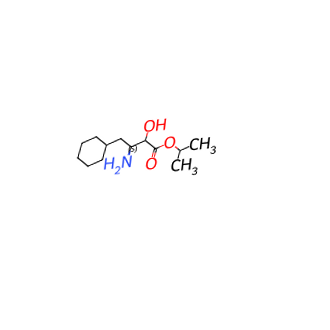 CC(C)OC(=O)C(O)[C@@H](N)CC1CCCCC1